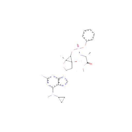 CC(C)OC(=O)[C@H](C)N[P@@](=O)(Oc1ccccc1)OC1[C@H]2O[C@@H](n3cnc4c(N(C)C5CC5)nc(N)nc43)[C@@H](F)[C@@]12O